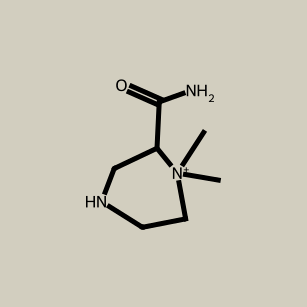 C[N+]1(C)CCNCC1C(N)=O